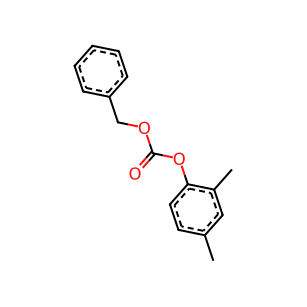 Cc1ccc(OC(=O)OCc2ccccc2)c(C)c1